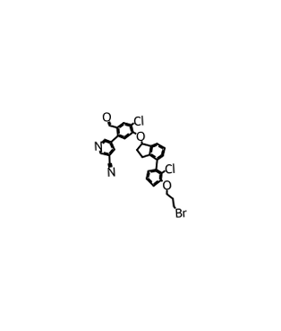 N#Cc1cncc(-c2cc(OC3CCc4c(-c5cccc(OCCCBr)c5Cl)cccc43)c(Cl)cc2C=O)c1